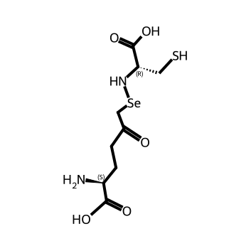 N[C@@H](CCC(=O)C[Se]N[C@@H](CS)C(=O)O)C(=O)O